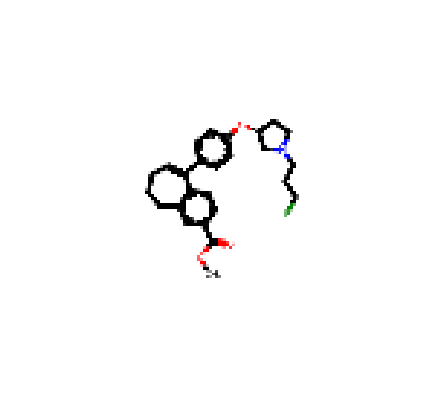 COC(=O)c1ccc2c(c1)CCCC=C2c1ccc(O[C@H]2CCN(CCCF)C2)cc1